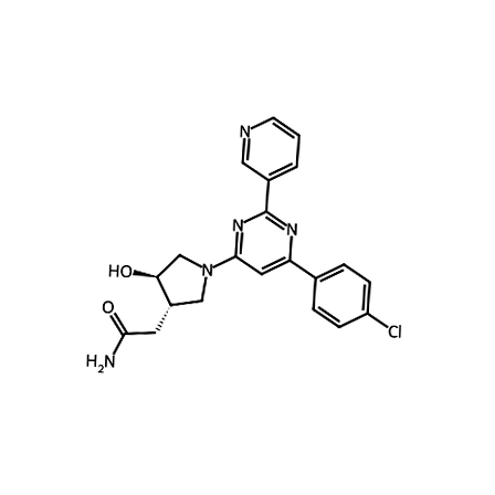 NC(=O)C[C@H]1CN(c2cc(-c3ccc(Cl)cc3)nc(-c3cccnc3)n2)C[C@@H]1O